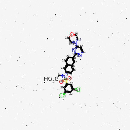 O=C(O)CN(c1ccc2cc(-c3nccc(N4CCOCC4)n3)ccc2c1)S(=O)(=O)c1cc(Cl)cc(Cl)c1